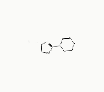 C[C@H]1CCC(C2CCCCC2)=N1